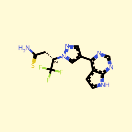 NC(=S)C[C@H](n1cc(-c2ncnc3[nH]ccc23)cn1)C(F)(F)F